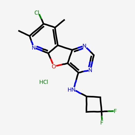 Cc1nc2oc3c(NC4CC(F)(F)C4)ncnc3c2c(C)c1Cl.Cl